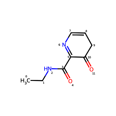 CCNC(=O)C1=NC=CCC1=O